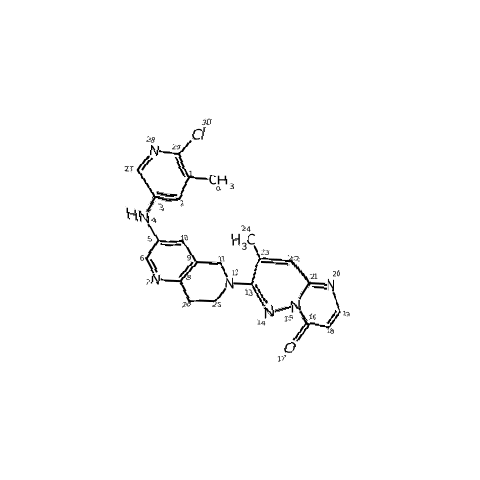 Cc1cc(Nc2cnc3c(c2)CN(c2nn4c(=O)ccnc4cc2C)CC3)cnc1Cl